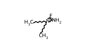 CCCCCCCC(CCCCCCC)N1C[C@H](N)[C@@H](F)C1